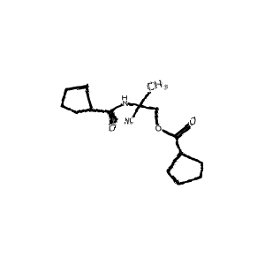 CC(C#N)(COC(=O)C1CCCC1)NC(=O)C1CCCC1